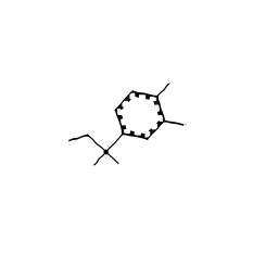 O=C(O)C(F)(CF)c1ccc(F)c(F)c1